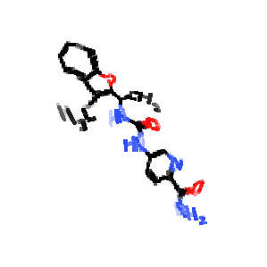 Cc1c([C@@H](C)NC(=O)Nc2ccc(C(N)=O)nc2)oc2ccccc12